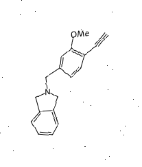 C#Cc1ccc(CN2Cc3ccccc3C2)cc1OC